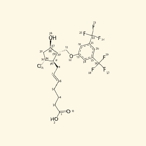 O=C(O)CCCC=CC[C@@H]1[C@@H](COc2cc(C(F)(F)F)cc(C(F)(F)F)c2)[C@H](O)C[C@H]1Cl